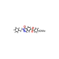 COc1ccc(S(=O)(=O)c2ccc3c(=O)n(CCc4ccccc4)ncc3c2)cc1